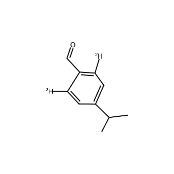 [2H]c1cc(C(C)C)cc([2H])c1C=O